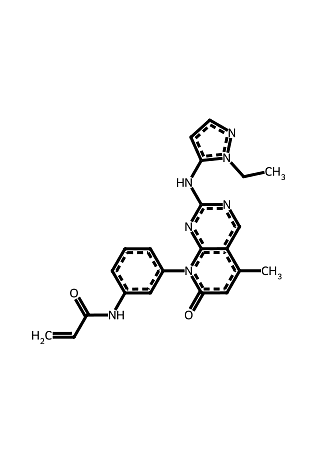 C=CC(=O)Nc1cccc(-n2c(=O)cc(C)c3cnc(Nc4ccnn4CC)nc32)c1